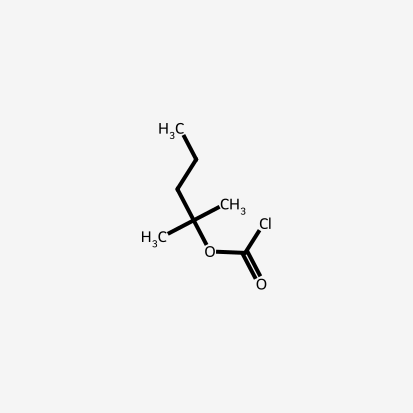 CCCC(C)(C)OC(=O)Cl